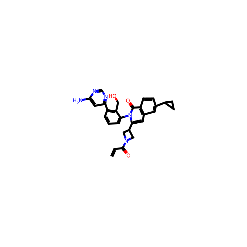 C=CC(=O)N1CC(c2cc3cc(C4CC4)ccc3c(=O)n2-c2cccc(-c3cc(N)ncn3)c2CO)C1